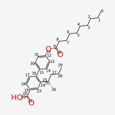 CCCCCCCCCC(=O)Oc1ccc(-c2ccc(C(=O)O)cc2[C@@H](C)CCC)cc1